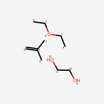 C=C(C)C.CCOCC.OCCO